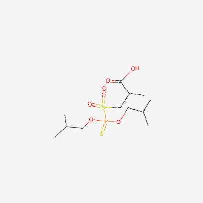 CC(C)COP(=S)(OCC(C)C)S(=O)(=O)CC(C)C(=O)O